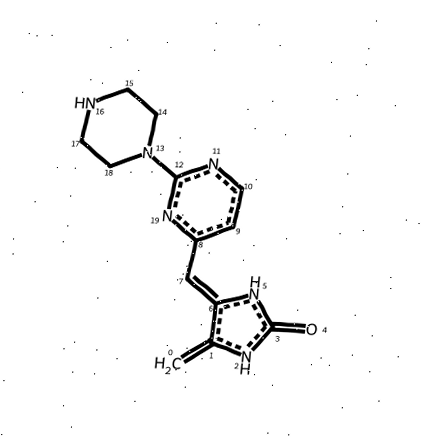 C=c1[nH]c(=O)[nH]/c1=C\c1ccnc(N2CCNCC2)n1